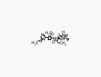 CCOc1cncc(-c2ccc(NC(=O)C(CC)c3csc(NS(=O)(=O)C4CC4)n3)c(OC)c2)n1